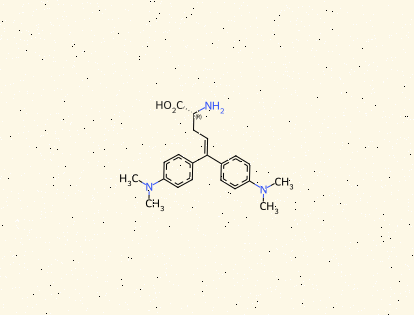 CN(C)c1ccc(C(=CC[C@@H](N)C(=O)O)c2ccc(N(C)C)cc2)cc1